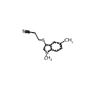 Cc1ccc2c(c1)c(SCCC#N)cn2C